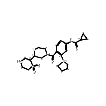 O=C(Nc1ccc(C(=O)N2CCSC(C3CNCCS3(=O)=O)C2)c(N2CCCC2)c1)C1CC1